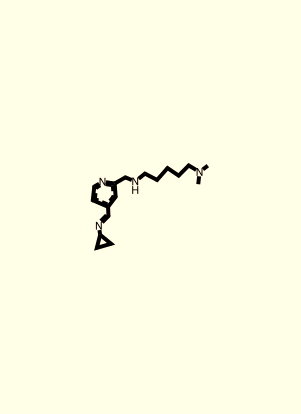 CN(C)CCCCCNCc1cc(/C=N/C2CC2)ccn1